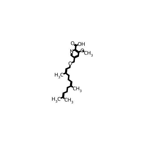 COc1cc(COCC=C(C)CCC=C(C)CCC=C(C)C)cnc1C(=O)O